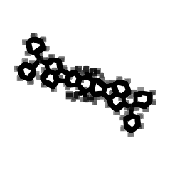 CC1(C)c2cc3c(cc2C(C)(C)c2cc4c(cc21)-c1ccc(N(c2ccccc2)c2ccccc2)c2cccc-4c12)-c1ccc(N(c2ccccc2)c2ccccc2)c2cccc-3c12